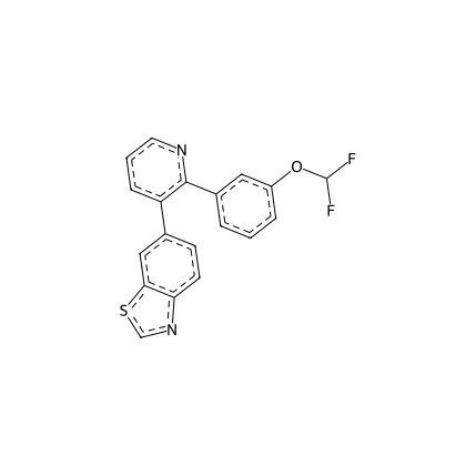 FC(F)Oc1cccc(-c2ncccc2-c2ccc3ncsc3c2)c1